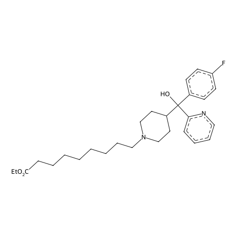 CCOC(=O)CCCCCCCCN1CCC(C(O)(c2ccc(F)cc2)c2ccccn2)CC1